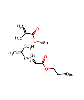 C=C(C)C(=O)O.C=C(C)C(=O)OCCCC.C=CC(=O)OCCCCCCCCCCCC